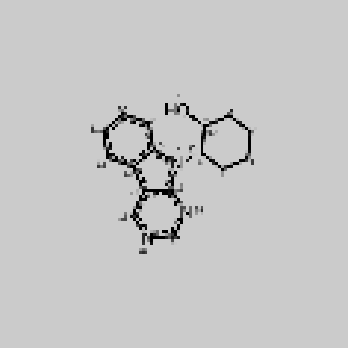 O[C@H]1CCCC[C@@H]1n1c2ccccc2c2cncnc21